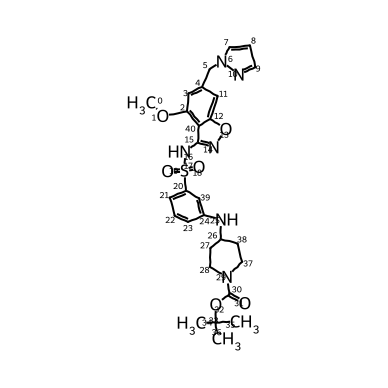 COc1cc(Cn2cccn2)cc2onc(NS(=O)(=O)c3cccc(NC4CCN(C(=O)OC(C)(C)C)CC4)c3)c12